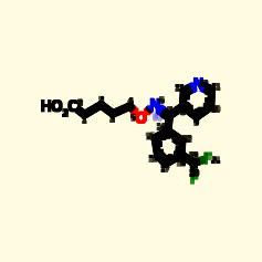 O=C(O)CCCCO/N=C(/c1cccnc1)c1cccc(C(F)F)c1